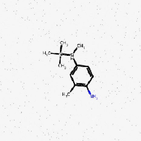 Cc1cc([SiH](C)[Si](C)(C)C)ccc1N